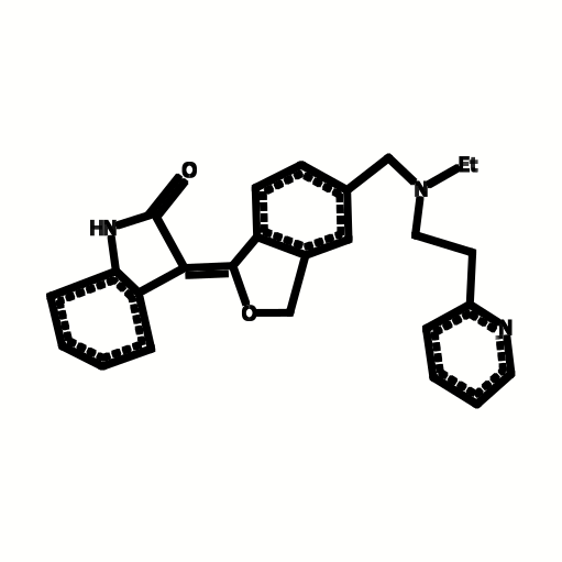 CCN(CCc1ccccn1)Cc1ccc2c(c1)COC2=C1C(=O)Nc2ccccc21